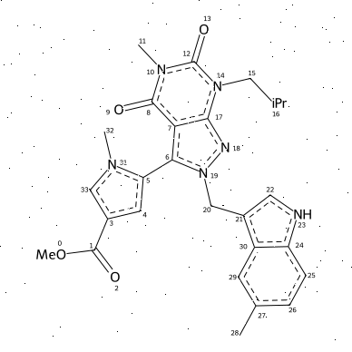 COC(=O)c1cc(-c2c3c(=O)n(C)c(=O)n(CC(C)C)c3nn2Cc2c[nH]c3ccc(C)cc23)n(C)c1